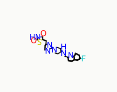 O=C1NC(=O)/C(=C/c2ccnc(N3CCC(NCc4ccc5cc(F)ccc5n4)CC3)n2)S1